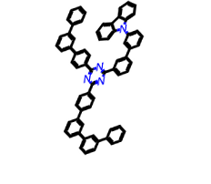 c1ccc(-c2cccc(-c3ccc(-c4nc(-c5ccc(-c6cccc(-c7cccc(-c8ccccc8)c7)c6)cc5)nc(-c5cccc(-c6cccc(-n7c8ccccc8c8ccccc87)c6)c5)n4)cc3)c2)cc1